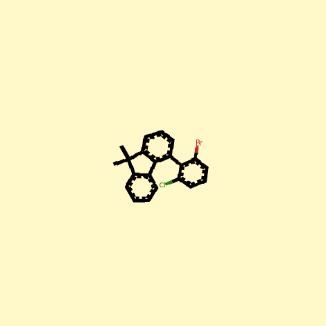 CC1(C)c2ccccc2-c2c(-c3c(Cl)cccc3Br)cccc21